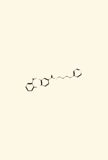 O=C(NCCCCc1ccncc1)c1ccc2c(c1)NC(=O)c1ccccc1S2